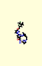 CC1CC2CCn3ccc(n3)SNC(=O)c3ccc(-n4ccc(OCCCC5(C(F)(F)F)CC5)n4)nc3N1C2